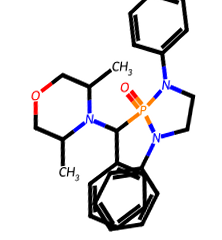 CC1COCC(C)N1C(c1ccccc1)P1(=O)N(c2ccccc2)CCN1c1ccccc1